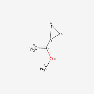 C=C(OC)C1CC1